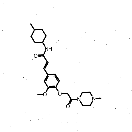 COc1cc(C=CC(=O)NC2CCC(C)CC2)ccc1OCC(=O)N1CCN(C)CC1